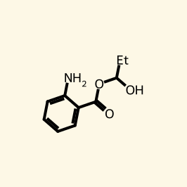 CCC(O)OC(=O)c1ccccc1N